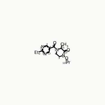 CCc1ncc(C(=O)N2CCN(OC(C)C)C(=O)C2C)cn1